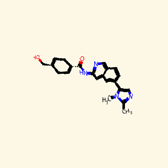 Cc1ncc(-c2ccc3cnc(NC(=O)[C@H]4CC[C@H](CO)CC4)cc3c2)n1C